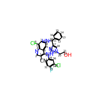 N#Cc1cnc2c(Cl)cc(N[C@@H](c3ccccc3)c3cn(CCO)nn3)cc2c1Nc1ccc(F)c(Cl)c1